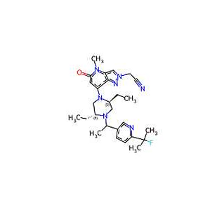 CC[C@H]1CN(C(C)c2ccc(C(C)(C)F)nc2)[C@H](CC)CN1c1cc(=O)n(C)c2cn(CC#N)nc12